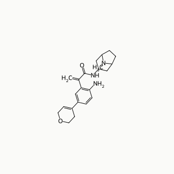 C=C(C(=O)NC1CC2CCC(C1)N2C)c1cc(C2=CCOCC2)ccc1N